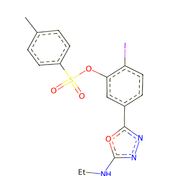 CCNc1nnc(-c2ccc(I)c(OS(=O)(=O)c3ccc(C)cc3)c2)o1